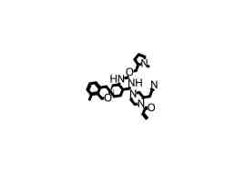 C=CC(=O)N1CCN(C2NC(OCC3CCCN3C)NC3C[C@]4(CCC32)Cc2cccc(C)c2CO4)CC1CC#N